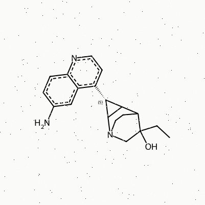 CCC1(O)CN2CCC1C1C2[C@@H]1c1ccnc2ccc(N)cc12